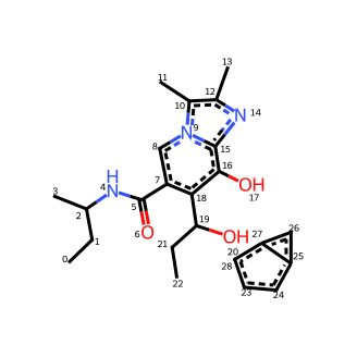 CCC(C)NC(=O)c1cn2c(C)c(C)nc2c(O)c1C(O)CC.c1cc2cc-2c1